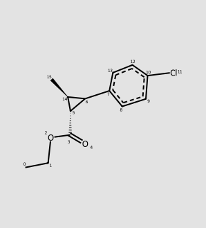 CCOC(=O)[C@H]1C(c2ccc(Cl)cc2)[C@@H]1C